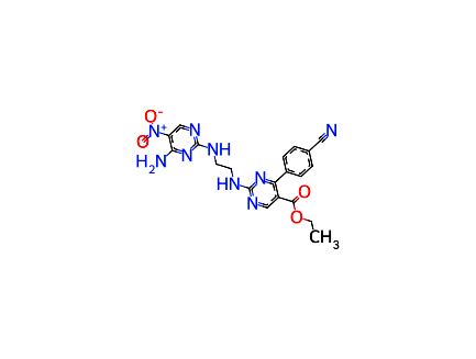 CCOC(=O)c1cnc(NCCNc2ncc([N+](=O)[O-])c(N)n2)nc1-c1ccc(C#N)cc1